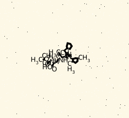 Cc1ccc(C)c(-n2cc([C@H](NCC[C@H](NC(=O)OC(C)(C)C)C(=O)O)C(C)(C)C)c(Cc3ccccc3)n2)c1